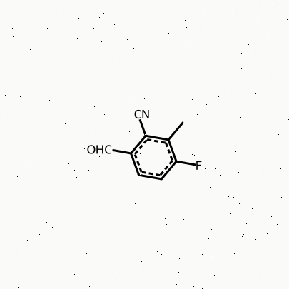 Cc1c(F)ccc(C=O)c1C#N